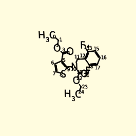 CCOC(=O)c1ccsc1N(Cc1c(F)cccc1F)C(=O)OCC